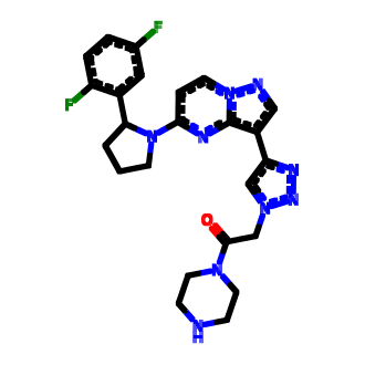 O=C(Cn1cc(-c2cnn3ccc(N4CCCC4c4cc(F)ccc4F)nc23)nn1)N1CCNCC1